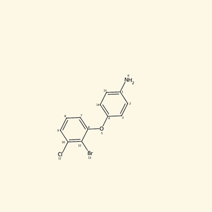 Nc1ccc(Oc2cccc(Cl)c2Br)cc1